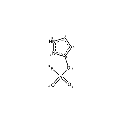 O=S(=O)(F)Oc1cc[nH]n1